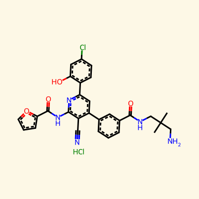 CC(C)(CN)CNC(=O)c1cccc(-c2cc(-c3ccc(Cl)cc3O)nc(NC(=O)c3ccco3)c2C#N)c1.Cl